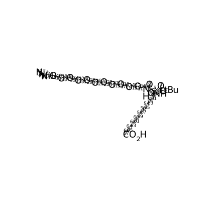 CC(C)(C)OC(=O)C(CCC(=O)NCCOCCOCCOCCOCCOCCOCCOCCOCCOCCOCCOCCN=[N+]=[N-])NC(=O)CCCCCCCCCCCCCCCCC(=O)O